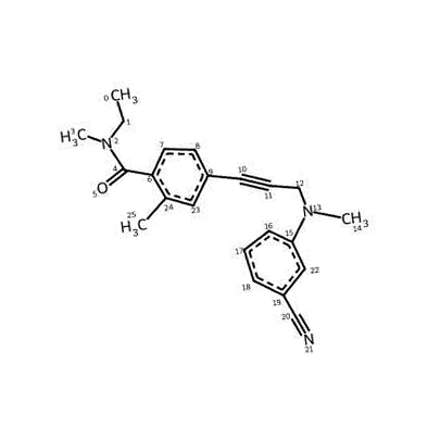 CCN(C)C(=O)c1ccc(C#CCN(C)c2cccc(C#N)c2)cc1C